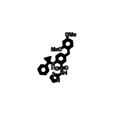 COc1ccc(Cc2ccc(NC3(c4ccccc4)CC3)c(S(=O)(=O)Nc3nccs3)c2)c(OC)c1